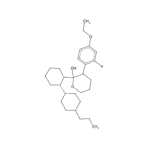 CCCC1CCC(C2CCCCC2C2(O)OCCCC2c2ccc(OCC)cc2F)CC1